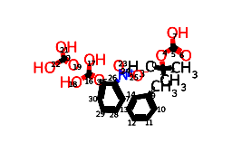 CC(C)(C)OC(=O)O.Cc1ccccc1.O=C(O)O.O=C(O)O.O=[N+]([O-])c1ccccc1